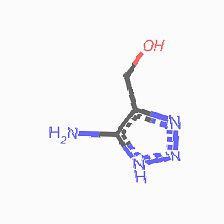 Nc1[nH]nnc1CO